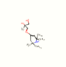 CC(O)(CO)COC1CC(C)(C)NC(C)(C)C1